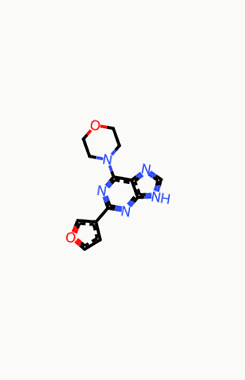 c1nc2c(N3CCOCC3)nc(-c3ccoc3)nc2[nH]1